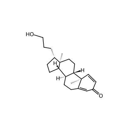 C[C@]12CC[C@H]3[C@@H](CCC4=CC(=O)C=C[C@@]43C)[C@@H]1CC[C@@H]2CCCO